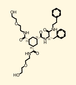 O=C(NCCOCCO)[C@@H]1C[C@H](C(=O)NCCOCCO)C[C@H](C(=O)N[C@@H](Cc2ccccc2)C(=O)NCCc2ccccc2)C1